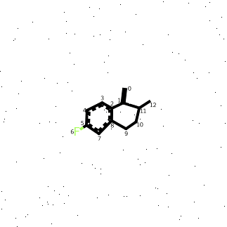 C=C1c2ccc(F)cc2CCC1C